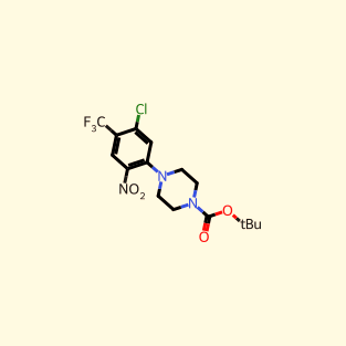 CC(C)(C)OC(=O)N1CCN(c2cc(Cl)c(C(F)(F)F)cc2[N+](=O)[O-])CC1